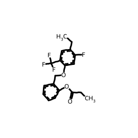 CCC(=O)Oc1ccccc1COc1cc(F)c(CC)cc1C(F)(F)F